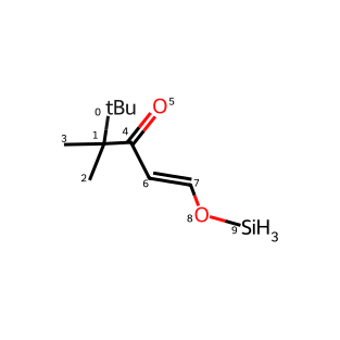 CC(C)(C)C(C)(C)C(=O)C=CO[SiH3]